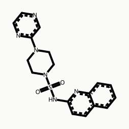 O=S(=O)(Nc1ccc2ccccc2n1)N1CCN(c2cnccn2)CC1